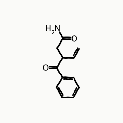 C=CC(CC(N)=O)C(=O)c1ccccc1